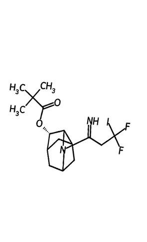 CC(C)(C)C(=O)O[C@H]1C2CC3CC(C2)C1N(C(=N)CC(F)(F)I)C3